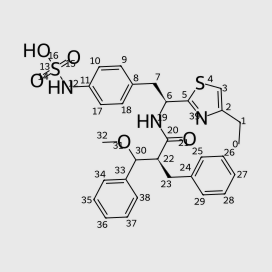 CCc1csc([C@H](Cc2ccc(NS(=O)(=O)O)cc2)NC(=O)[C@@H](Cc2ccccc2)C(OC)c2ccccc2)n1